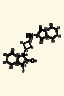 Cn1c(=O)n(C2CC(Nc3nc4ccccc4s3)C2)c2ncccc21